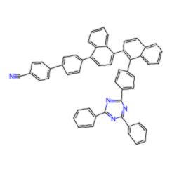 N#Cc1ccc(-c2ccc(-c3ccc(-c4ccc5ccccc5c4-c4ccc(-c5nc(-c6ccccc6)nc(-c6ccccc6)n5)cc4)c4ccccc34)cc2)cc1